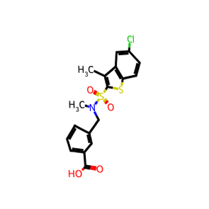 Cc1c(S(=O)(=O)N(C)Cc2cccc(C(=O)O)c2)sc2ccc(Cl)cc12